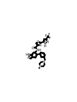 CN1CCN(Cc2cccc(-c3cc4cn[nH]c4cc3NC(=O)c3csc(-c4cc(C(F)(F)F)n[nH]4)n3)c2)CC1